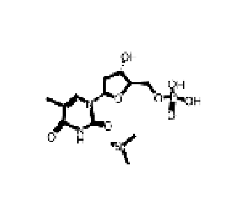 C[Si](C)C.Cc1cn([C@H]2C[C@H](O)[C@@H](COP(=O)(O)O)O2)c(=O)[nH]c1=O